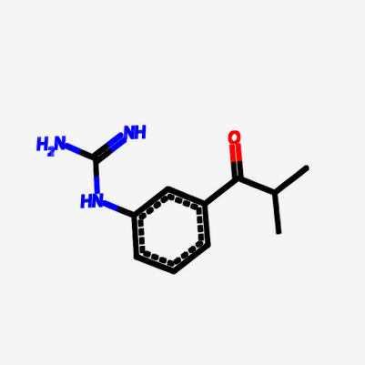 CC(C)C(=O)c1cccc(NC(=N)N)c1